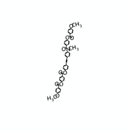 COc1ccc(C(=O)Oc2ccc(C(=O)Oc3ccc(C#Cc4ccc(N(C)C(=O)c5ccc(OC(=O)c6ccc(OC)cc6)cc5)cc4)cc3)cc2)cc1